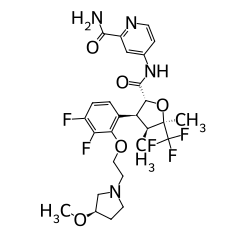 CO[C@@H]1CCN(CCOc2c([C@H]3[C@H](C(=O)Nc4ccnc(C(N)=O)c4)O[C@@](C)(C(F)(F)F)[C@H]3C)ccc(F)c2F)C1